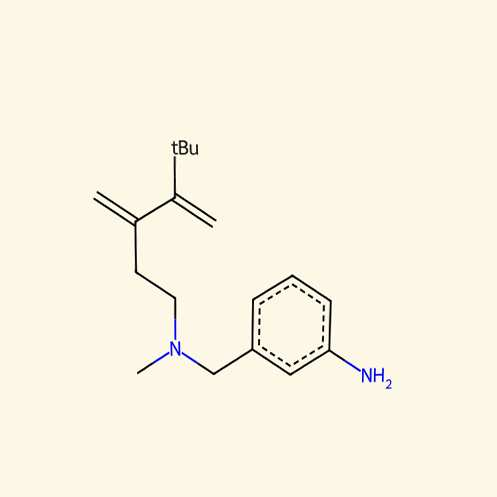 C=C(CCN(C)Cc1cccc(N)c1)C(=C)C(C)(C)C